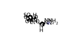 CCN1C(=O)N(OS(=O)(=O)O)CC[C@H]1C(=O)NOC[C@@H]1C[C@H](N(N)/C=N\N)CN1